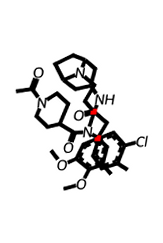 COc1cc(CC(=O)NC2CC3CCC(C2)N3CCCN(C(=O)C2CCN(C(C)=O)CC2)c2ccc(C)c(Cl)c2)cc(C)c1OC